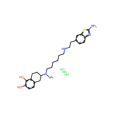 CCCN(CCCCCCNCCc1ccc2nc(N)sc2c1)C1CCc2c(ccc(O)c2O)C1.Cl.Cl.Cl